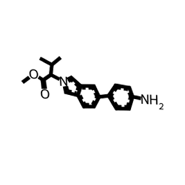 COC(=O)C(C(C)C)n1cc2ccc(-c3ccc(N)cc3)cc2c1